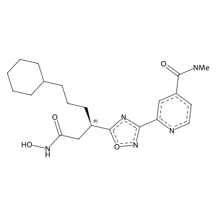 CNC(=O)c1ccnc(-c2noc([C@H](CCCC3CCCCC3)CC(=O)NO)n2)c1